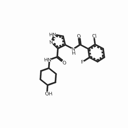 O=C(NC1CCC(O)CC1)c1n[nH]cc1NC(=O)c1c(F)cccc1Cl